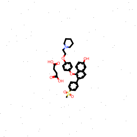 CS(=O)(=O)c1ccc(-c2ccc3cc(O)ccc3c2Oc2ccc(OCCN3CCCCC3)cc2)cc1.O=C(O)CCC(=O)O